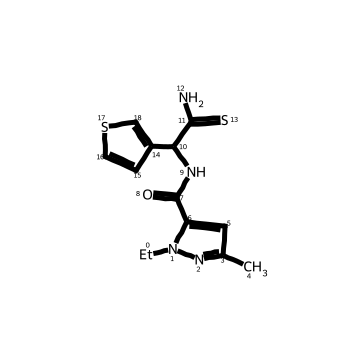 CCn1nc(C)cc1C(=O)NC(C(N)=S)c1ccsc1